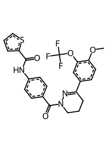 COc1ccc(C2=NN(C(=O)c3ccc(NC(=O)c4cccs4)cc3)CCC2)cc1OC(F)(F)F